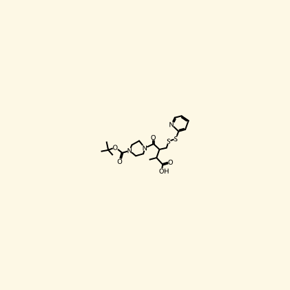 CC(C(=O)O)C(CSSc1ccccn1)C(=O)N1CCN(C(=O)OC(C)(C)C)CC1